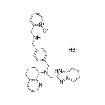 Br.[O-][n+]1ccccc1CNCc1ccc(CN(Cc2nc3ccccc3[nH]2)C2CCCc3cccnc32)cc1